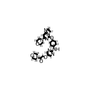 O=C(COc1cnc(NC2CCC(Oc3nc(N4CCOCC4)cc4nccn34)CC2)nc1)N1CCOCC1